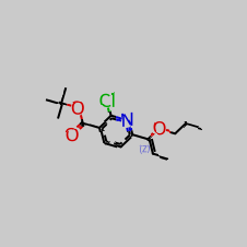 C/C=C(\OCCC)c1ccc(C(=O)OC(C)(C)C)c(Cl)n1